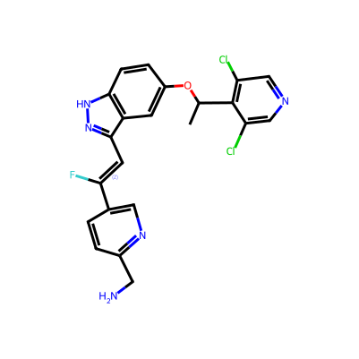 CC(Oc1ccc2[nH]nc(/C=C(\F)c3ccc(CN)nc3)c2c1)c1c(Cl)cncc1Cl